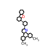 Cc1ccc2c(c1)c1cc(C)ccc1c1nc(-c3cccc(-c4cccc5c4oc4ccccc45)c3)ccc21